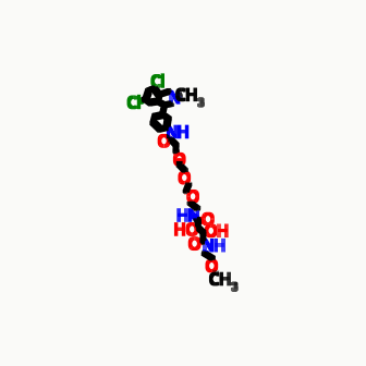 CCOCCNC(=O)[C@H](O)[C@@H](O)C(=O)NCCOCCOCCOCCC(=O)Nc1cccc(C2CN(C)Cc3c(Cl)cc(Cl)cc32)c1